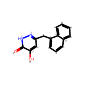 O=c1[nH]nc(Cc2cccc3ccccc23)cc1O